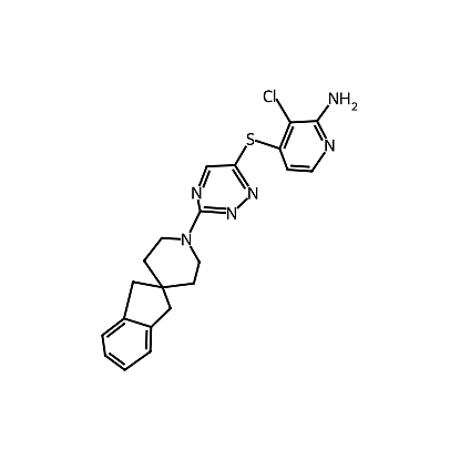 Nc1nccc(Sc2cnc(N3CCC4(CC3)Cc3ccccc3C4)nn2)c1Cl